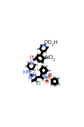 O=C(O)N1CC=C(c2cc(C(=O)N3CCC(Nc4ncc(Cl)c(-c5cn(S(=O)(=O)c6ccccc6)c6ccccc56)n4)CC3)ccc2[N+](=O)[O-])CC1